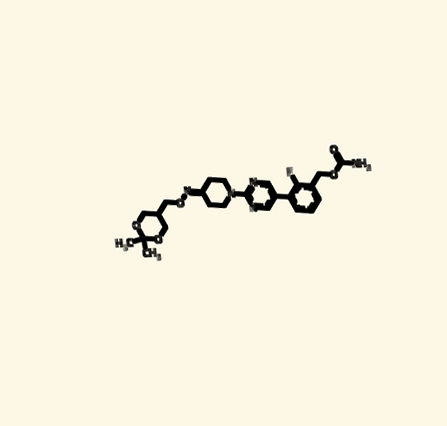 CC1(C)OCC(CON=C2CCN(c3ncc(-c4cccc(COC(N)=O)c4F)cn3)CC2)CO1